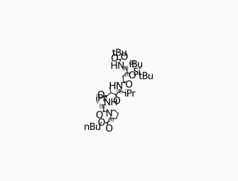 CCCCOC(=O)[C@@H]1CCCN1C(=O)[C@H](CC(C)C)NC(=O)C(C)C(=O)[C@@H](NC(=O)C[C@H](O[Si](C)(C)C(C)(C)C)[C@H](NC(=O)OC(C)(C)C)[C@@H](C)CC)C(C)C